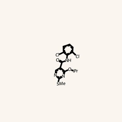 CSc1ncc(C(=O)Nc2c(Cl)cccc2Cl)c(OC(C)C)n1